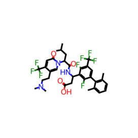 Cc1cccc(C)c1-c1cc(C(F)(F)F)c(F)c(C(CC(=O)O)NC(=O)C(CC(C)C)n2cc(CCN(C)C)c(C(F)(F)F)cc2=O)c1F